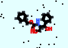 O=C(N[C@H](CO)C(O)c1ccccc1)OCc1ccccc1